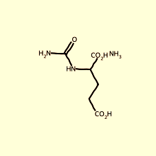 N.NC(=O)NC(CCC(=O)O)C(=O)O